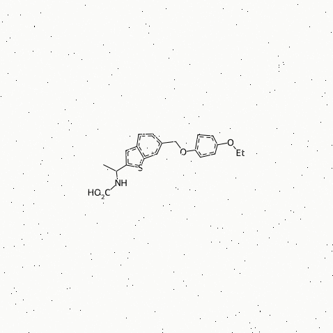 CCOc1ccc(OCc2ccc3cc(C(C)NC(=O)O)sc3c2)cc1